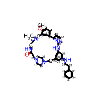 COc1ccc2cc1CN(C)CCNC(=O)CN1CCN(CC1)Cc1cc(NCCc3ccccc3)cc(c1)Nc1nccc-2n1